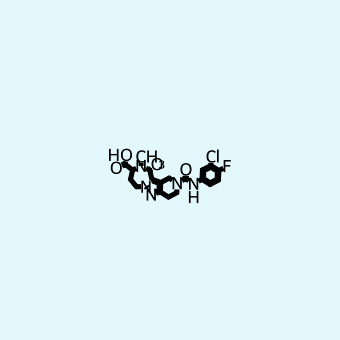 CN1C(=O)c2c3c(nn2CCC1C(=O)O)CCN(C(=O)Nc1ccc(F)c(Cl)c1)C3